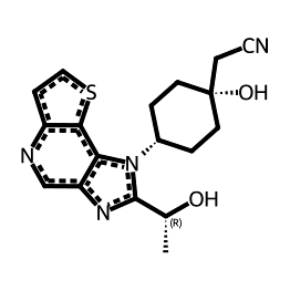 C[C@@H](O)c1nc2cnc3ccsc3c2n1[C@H]1CC[C@](O)(CC#N)CC1